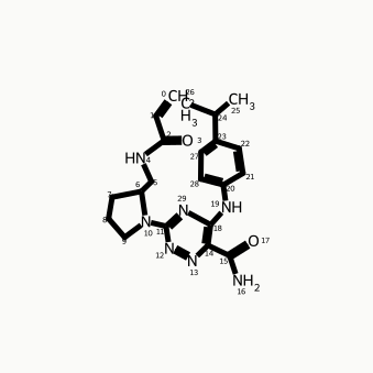 C=CC(=O)NCC1CCCN1c1nnc(C(N)=O)c(Nc2ccc(C(C)C)cc2)n1